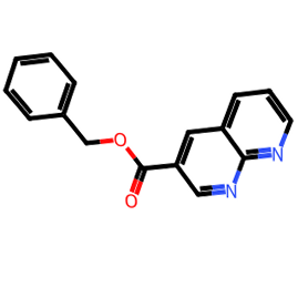 O=C(OCc1ccccc1)c1cnc2ncccc2c1